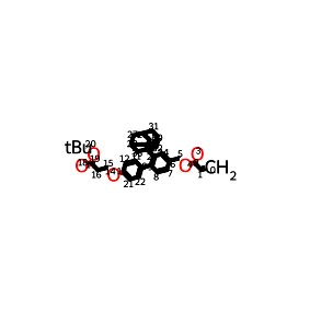 C=CC(=O)OCc1ccc(-c2ccc(OCCC(=O)OC(C)(C)C)cc2)c(C23CC4CC(CC(C4)C2)C3)c1